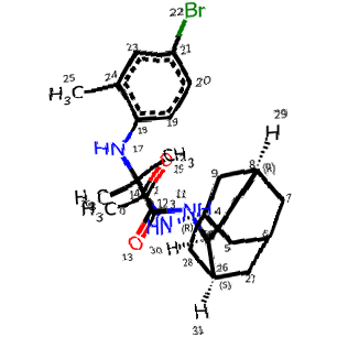 CC(=O)N[C@@]12CC3C[C@H](C1)[C@H](NC(=O)C(C)(C)Nc1ccc(Br)cc1C)[C@@H](C3)C2